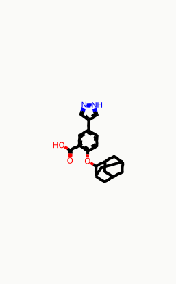 O=C(O)c1cc(-c2cn[nH]c2)ccc1OC1C2CC3CC(C2)CC1C3